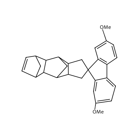 COc1ccc2c(c1)C1(CC3C(C1)C1CC3C3C4C=CC(C4)C13)c1cc(OC)ccc1-2